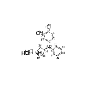 Cl.Cl.Clc1ccc(N(c2ccccc2)[C@H]2CCNC2)cc1Cl